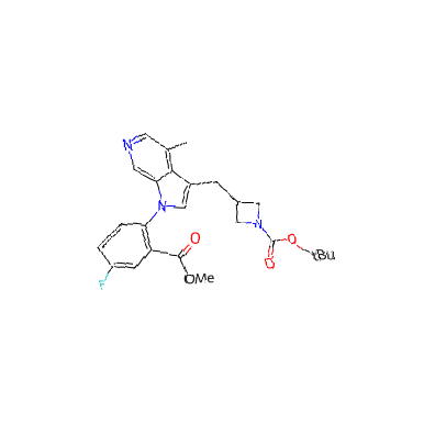 COC(=O)c1cc(F)ccc1-n1cc(CC2CN(C(=O)OC(C)(C)C)C2)c2c(C)cncc21